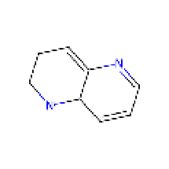 C1=CC2[N]CCC=C2N=C1